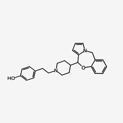 Oc1ccc(CCN2CCC(C3Oc4ccccc4Cn4cccc43)CC2)cc1